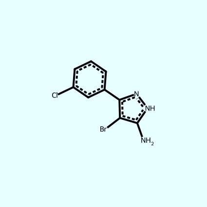 Nc1[nH]nc(-c2cccc(Cl)c2)c1Br